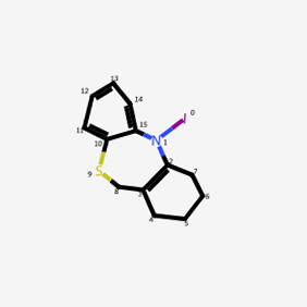 IN1C2=C(CCCC2)CSc2ccccc21